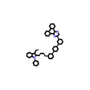 C\C=c1/c(=C\C=C/Cc2cccc(-c3ccc(-c4cccc(-c5cnc6c7ccccc7c7ccccc7c6n5)c4)cc3)c2)n(-c2ccccc2)c2ccccc12